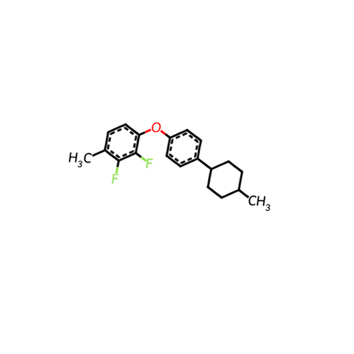 Cc1ccc(Oc2ccc(C3CCC(C)CC3)cc2)c(F)c1F